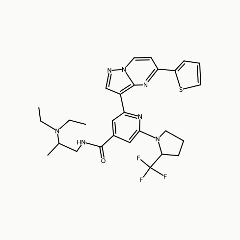 CCN(CC)C(C)CNC(=O)c1cc(-c2cnn3ccc(-c4cccs4)nc23)nc(N2CCCC2C(F)(F)F)c1